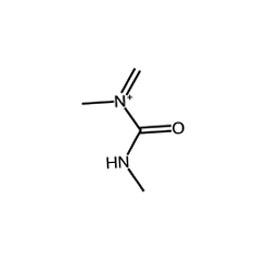 C=[N+](C)C(=O)NC